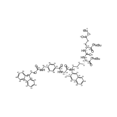 CC(C)(C)OC(=O)CC[C@H](NC(=O)N[C@@H](CCCCNC(=O)[C@H](Cc1ccc2ccccc2c1)NC(=O)c1ccc(CNC(=O)OCC2c3ccccc3-c3ccccc32)cc1)C(=O)OC(C)(C)C)C(=O)OC(C)(C)C